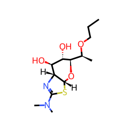 CCCO[C@@H](C)[C@H]1O[C@@H]2SC(N(C)C)=N[C@@H]2[C@@H](O)[C@@H]1O